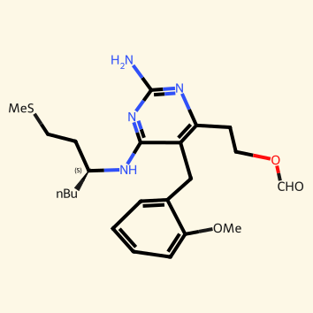 CCCC[C@@H](CCSC)Nc1nc(N)nc(CCOC=O)c1Cc1ccccc1OC